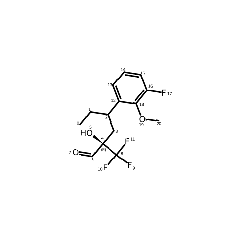 CCC(C[C@@](O)(C=O)C(F)(F)F)c1cccc(F)c1OC